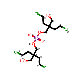 O=P(O)(OCC(CO)(CCCl)CCCl)OCC(CO)(CCCl)CCCl